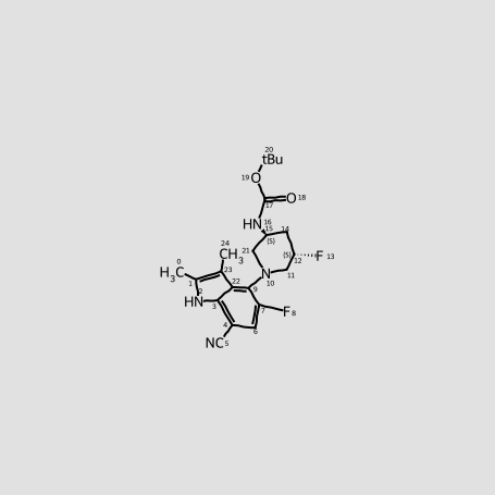 Cc1[nH]c2c(C#N)cc(F)c(N3C[C@@H](F)C[C@H](NC(=O)OC(C)(C)C)C3)c2c1C